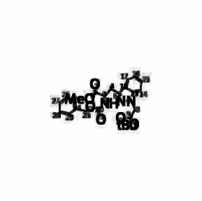 COC(=O)C(Cc1nn(CC(=O)OC(C)(C)C)c2ccccc12)NC(=O)OCc1ccccc1